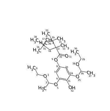 CCOC(C)Oc1cc(OC(=O)C(C)(CC(C)(C)C)C(C)(C)C)cc(OC(C)OCC)c1O